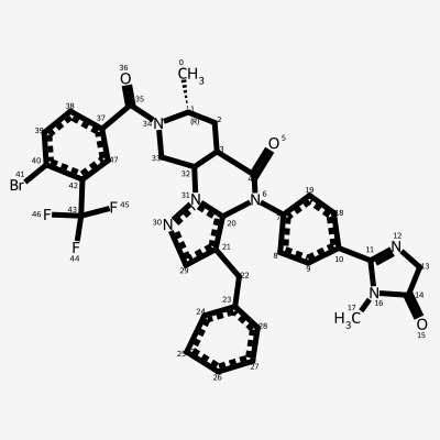 C[C@@H]1CC2C(=O)N(c3ccc(C4=NCC(=O)N4C)cc3)c3c(Cc4ccccc4)cnn3C2CN1C(=O)c1ccc(Br)c(C(F)(F)F)c1